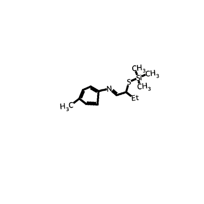 CCC(C=Nc1ccc(C)cc1)S[Si](C)(C)C